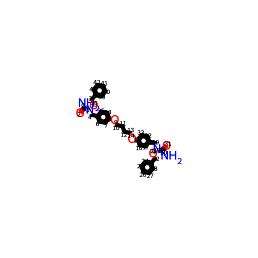 NC(=O)N(Cc1ccc(OCCCCOc2ccc(CN(OCc3ccccc3)C(N)=O)cc2)cc1)OCc1ccccc1